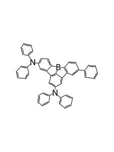 c1ccc(-c2ccc3c(c2)-c2cc(N(c4ccccc4)c4ccccc4)cc4c2B3c2ccc(N(c3ccccc3)c3ccccc3)cc2-4)cc1